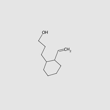 C=CC1CCCCC1CCCO